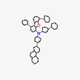 c1ccc(-c2ccc(N(c3ccc(-c4ccc5c(ccc6ccccc65)c4)cc3)c3ccc(-c4ccccc4)c4c3oc3c(-c5ccccc5)cccc34)cc2)cc1